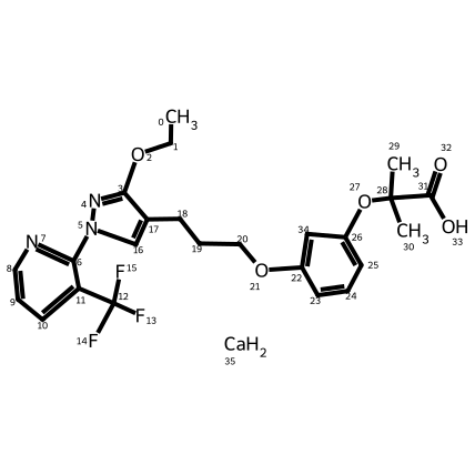 CCOc1nn(-c2ncccc2C(F)(F)F)cc1CCCOc1cccc(OC(C)(C)C(=O)O)c1.[CaH2]